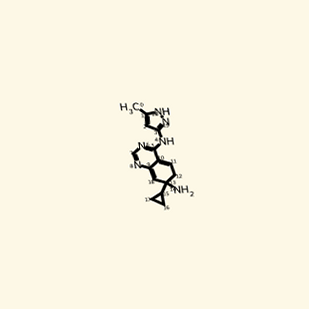 Cc1cc(Nc2ncnc3c2=CCC(N)(C2CC2)C=3)n[nH]1